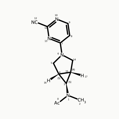 CC(=O)N(C)[C@H]1[C@@H]2CN(c3ccnc(C#N)n3)C[C@@H]21